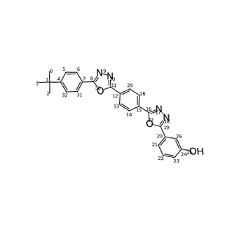 CC(C)(C)c1ccc(-c2nnc(-c3ccc(-c4nnc(-c5cccc(O)c5)o4)cc3)o2)cc1